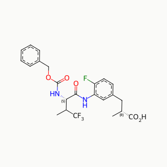 CC([C@H](NC(=O)OCc1ccccc1)C(=O)Nc1cc(C[C@@H](C)C(=O)O)ccc1F)C(F)(F)F